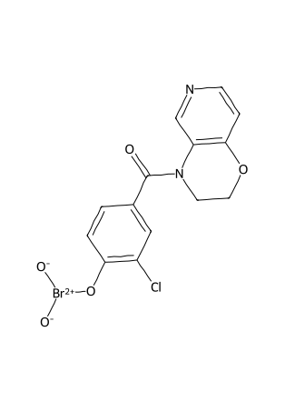 O=C(c1ccc(O[Br+2]([O-])[O-])c(Cl)c1)N1CCOc2ccncc21